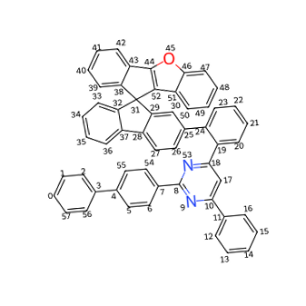 c1ccc(-c2ccc(-c3nc(-c4ccccc4)cc(-c4ccccc4-c4ccc5c(c4)C4(c6ccccc6-5)c5ccccc5-c5oc6ccccc6c54)n3)cc2)cc1